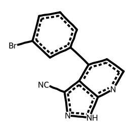 N#Cc1n[nH]c2nccc(-c3cccc(Br)c3)c12